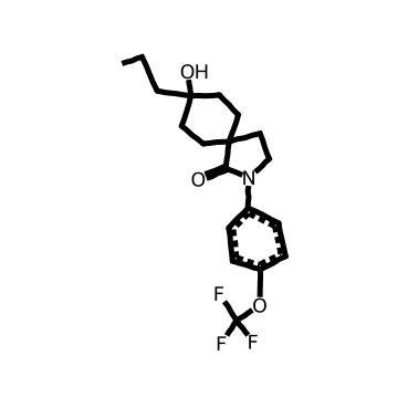 CCCC1(O)CCC2(CCN(c3ccc(OC(F)(F)F)cc3)C2=O)CC1